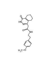 COc1ccc(CCNC(=O)Cc2n[nH]c(=O)c3c2CCCC3)cc1